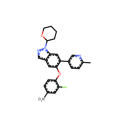 Cc1ccc(-c2cc3c(cnn3C3CCCCO3)cc2Oc2ccc([N+](=O)[O-])cc2F)cn1